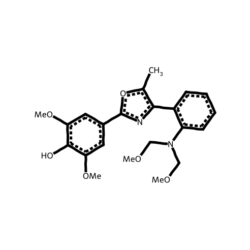 COCN(COC)c1ccccc1-c1nc(-c2cc(OC)c(O)c(OC)c2)oc1C